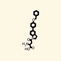 NC(CC(=O)N1CCc2cc(-c3ccc(OCc4ccccc4)cc3)ccc21)C(=O)O